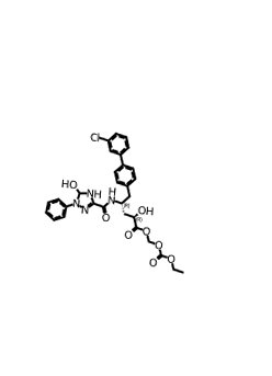 CCOC(=O)OCOC(=O)[C@H](O)C[C@@H](Cc1ccc(-c2cccc(Cl)c2)cc1)NC(=O)C1=NN(c2ccccc2)C(O)N1